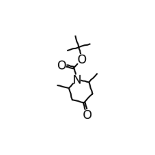 CC1CC(=O)CC(C)N1C(=O)OC(C)(C)C